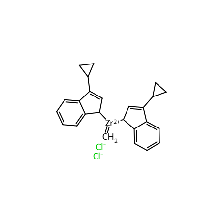 [CH2]=[Zr+2]([CH]1C=C(C2CC2)c2ccccc21)[CH]1C=C(C2CC2)c2ccccc21.[Cl-].[Cl-]